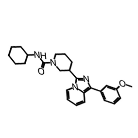 COc1cccc(-c2nc(C3CCCN(C(=O)NC4CCCCC4)C3)n3ccccc23)c1